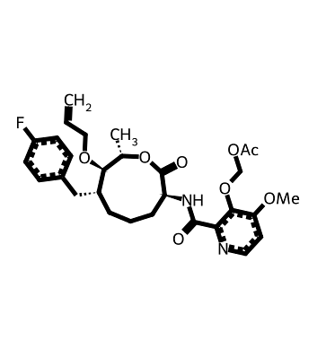 C=CCO[C@@H]1[C@@H](Cc2ccc(F)cc2)CCC[C@H](NC(=O)c2nccc(OC)c2OCOC(C)=O)C(=O)O[C@H]1C